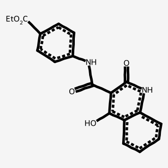 CCOC(=O)c1ccc(NC(=O)c2c(O)c3ccccc3[nH]c2=O)cc1